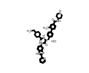 Cc1cc(C(=O)NC2CCNCC2)ccc1-c1ccc(C[C@H](NC(=O)C2CCC(CN)CC2)C(=O)Nc2ccc3[nH]c(-c4ccccn4)nc3c2)cc1.Cl